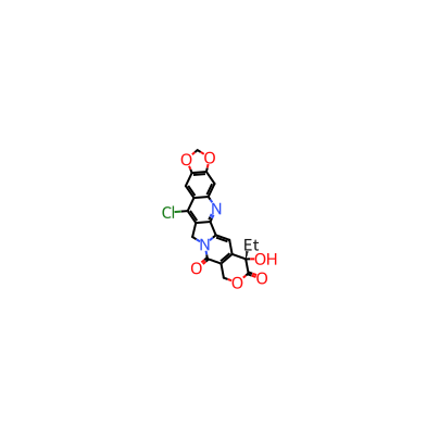 CC[C@@]1(O)C(=O)OCc2c1cc1n(c2=O)Cc2c-1nc1cc3c(cc1c2Cl)OCO3